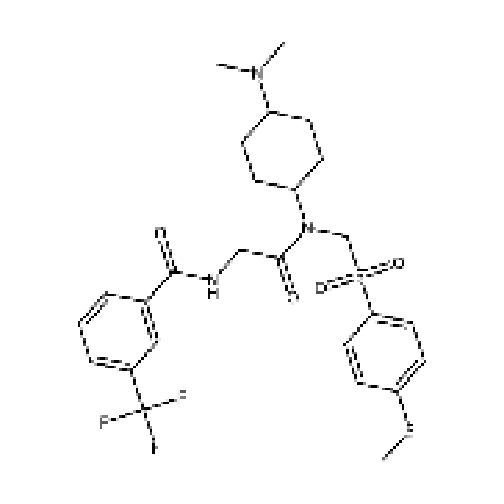 CSc1ccc(S(=O)(=O)CN(C(=O)CNC(=O)c2cccc(C(F)(F)F)c2)C2CCC(N(C)C)CC2)cc1